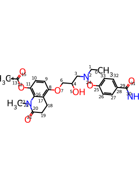 CCN(CC(O)COc1ccc(OC(C)=O)c2c1CCC(=O)N2C)Oc1ccc(C(N)=O)cc1